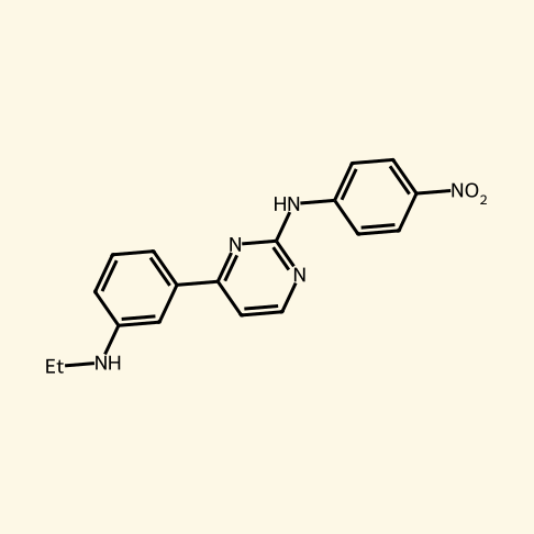 CCNc1cccc(-c2ccnc(Nc3ccc([N+](=O)[O-])cc3)n2)c1